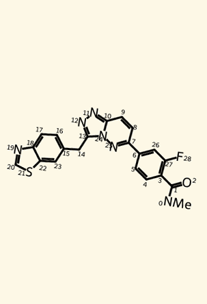 CNC(=O)c1ccc(-c2ccc3nnc(Cc4ccc5ncsc5c4)n3n2)cc1F